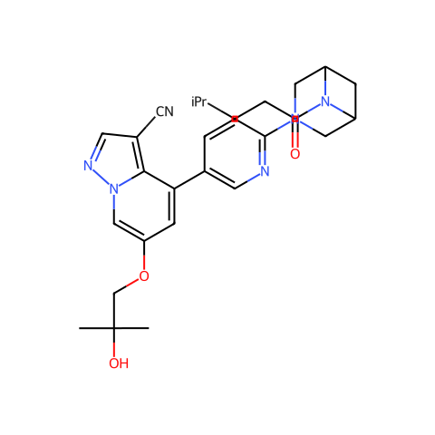 CC(C)CCC(=O)N1C2CC1CN(c1ccc(-c3cc(OCC(C)(C)O)cn4ncc(C#N)c34)cn1)C2